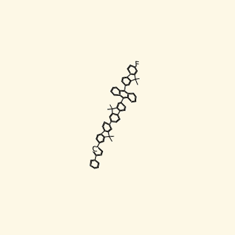 CC1(C)c2cc(-c3ccc(-c4ccccc4)cc3)ccc2-c2ccc(-c3ccc4c(c3)C(C)(C)c3cc(-c5c6ccccc6c(-c6ccc7c(c6)C(C)(C)c6cc(F)ccc6-7)c6ccccc56)ccc3-4)cc21